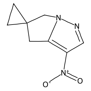 O=[N+]([O-])c1cnn2c1CC1(CC1)C2